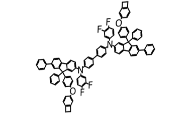 Fc1ccc(N(c2ccc(-c3ccc(N(c4ccc(F)c(F)c4)c4ccc5c(c4)C(c4ccccc4)(c4ccc(Oc6ccc7c(c6)CC7)cc4)c4cc(-c6ccccc6)ccc4-5)cc3)cc2)c2ccc3c(c2)C(c2ccccc2)(c2ccc(Oc4ccc5c(c4)CC5)cc2)c2cc(-c4ccccc4)ccc2-3)cc1F